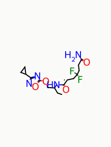 CCC(COc1nc(C2CC2)no1)NC(=O)[CH]CC(F)(F)CCC(N)=O